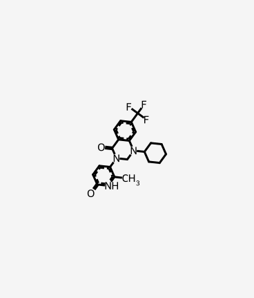 Cc1[nH]c(=O)ccc1N1CN(C2CCCCC2)c2cc(C(F)(F)F)ccc2C1=O